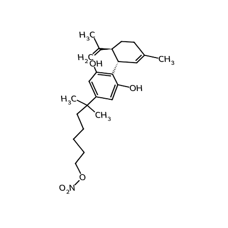 C=C(C)[C@H]1CCC(C)=C[C@@H]1c1c(O)cc(C(C)(C)CCCCCO[N+](=O)[O-])cc1O